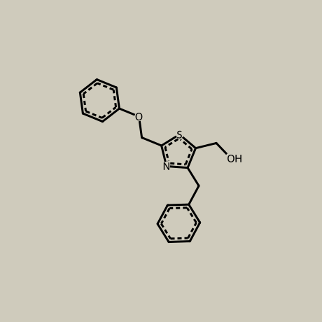 OCc1sc(COc2ccccc2)nc1Cc1ccccc1